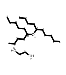 CCCCCC(CCCC)OC(CCCC)CCCCC.OCCO